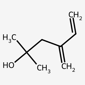 C=CC(=C)CC(C)(C)O